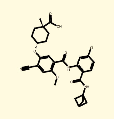 COc1cc(C#N)c(O[C@H]2CC[C@@](C)(C(=O)O)CC2)cc1C(=O)Nc1cc(Cl)ccc1C(=O)NC12CC(C1)C2